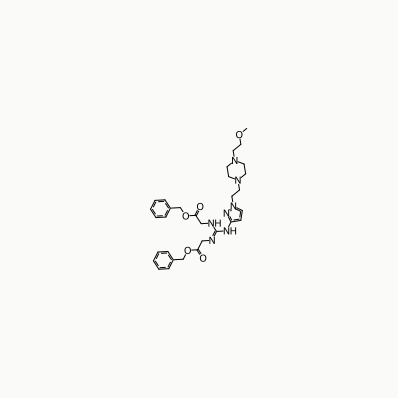 COCCN1CCN(CCn2ccc(N/C(=N/CC(=O)OCc3ccccc3)NCC(=O)OCc3ccccc3)n2)CC1